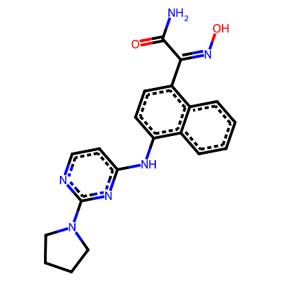 NC(=O)C(=NO)c1ccc(Nc2ccnc(N3CCCC3)n2)c2ccccc12